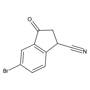 N#CC1CC(=O)c2cc(Br)ccc21